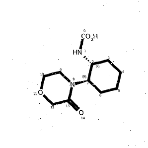 O=C(O)N[C@@H]1CCCC[C@H]1N1CCOCC1=O